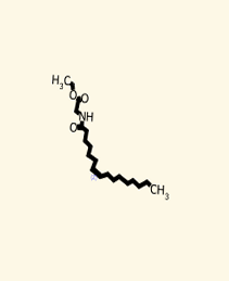 CCCCCCCC/C=C\CCCCCC(=O)NCC(=O)OCC